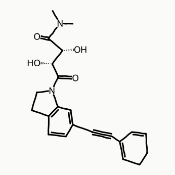 CN(C)C(=O)[C@H](O)[C@@H](O)C(=O)N1CCc2ccc(C#CC3=CCCC=C3)cc21